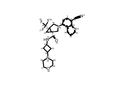 N#Cc1ccc(N2C[C@@]3(C(=O)NC4CC(N5CCOCC5)C4)C[C@@]3(C(F)(F)F)C2)c2cccnc12